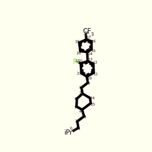 CC(C)CCCC1CCC(CCc2ccc(-c3ccc(C(F)(F)F)cc3)c(F)c2)CC1